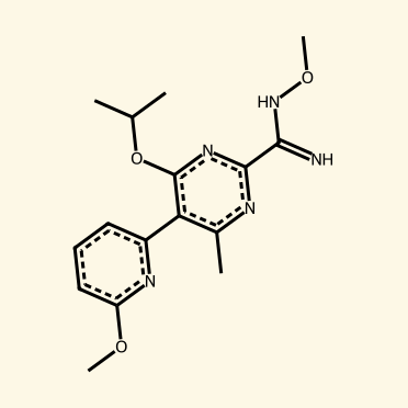 CONC(=N)c1nc(C)c(-c2cccc(OC)n2)c(OC(C)C)n1